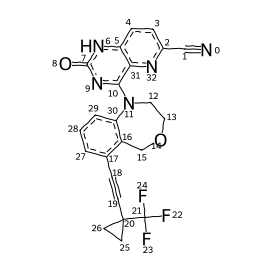 N#Cc1ccc2[nH]c(=O)nc(N3CCOCc4c(C#CC5(C(F)(F)F)CC5)cccc43)c2n1